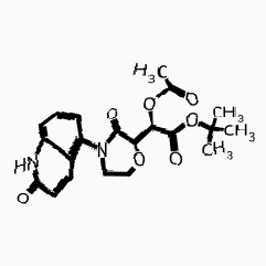 CC(=O)O[C@@H](C(=O)OC(C)(C)C)[C@H]1OCCN(c2cccc3[nH]c(=O)ccc23)C1=O